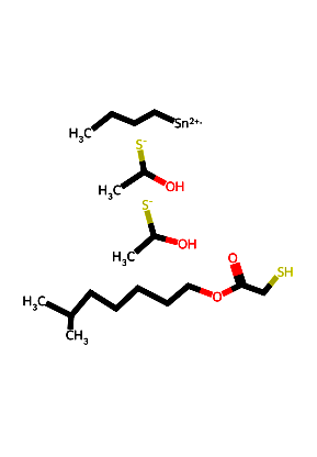 CC(C)CCCCCOC(=O)CS.CC(O)[S-].CC(O)[S-].CCC[CH2][Sn+2]